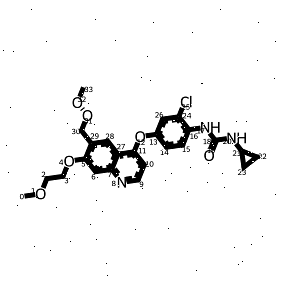 COCCOc1cc2nccc(Oc3ccc(NC(=O)NC4CC4)c(Cl)c3)c2cc1COOC